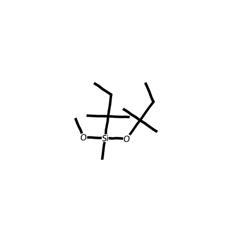 CCC(C)(C)O[Si](C)(OC)C(C)(C)CC